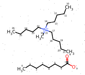 CCCCCCCC(=O)[O-].CCCCC[N+](C)(CCCCC)CCCCC